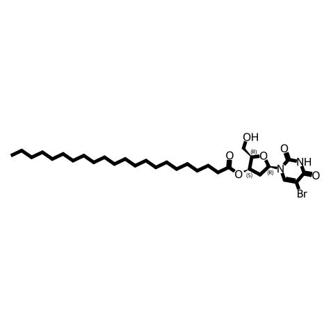 CCCCCCCCCCCCCCCCCCCCCC(=O)O[C@H]1C[C@H](n2cc(Br)c(=O)[nH]c2=O)O[C@@H]1CO